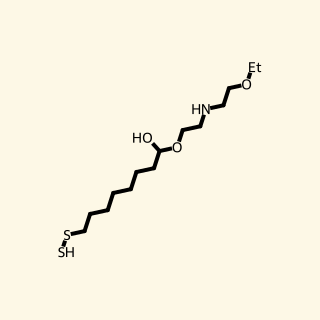 CCOCCNCCOC(O)CCCCCCCSS